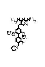 CCOc1cc(Cc2cnc(N)nc2N)cc(OCC)c1-c1ccc(CN2CCCC2)c(F)c1